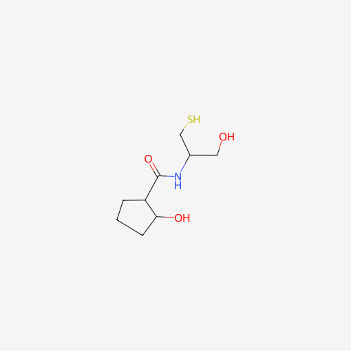 O=C(NC(CO)CS)C1CCCC1O